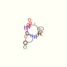 CCO[C@]1(C2SCCCS2)/C=C/C[C@H](C)[C@@H](CCOC)S(=O)(=O)NC(=O)c2ccc3c(c2)N(CCCCc2cc(Cl)ccc2CO3)C[C@@H]2CC[C@H]21